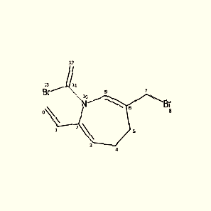 C=CC1=CCCC(CBr)=CN1C(=C)Br